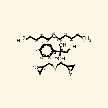 C(OCC1CO1)C1CO1.CCC(O)(O)c1ccccc1.CCCCCOCCCCC